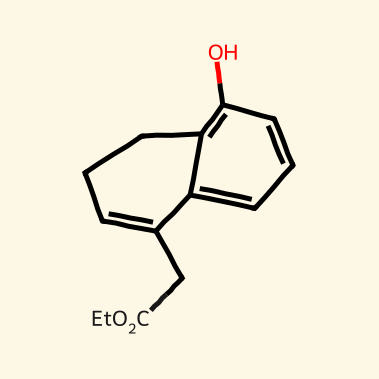 CCOC(=O)CC1=CCCc2c(O)cccc21